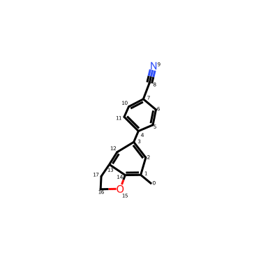 Cc1cc(-c2ccc(C#N)cc2)cc2c1OCC2